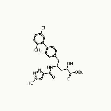 Cc1ccc(Cl)cc1-c1ccc(CC(CC(O)C(=O)OCC(C)C)NC(=O)c2cn(O)nn2)cc1